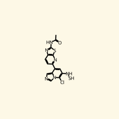 CC(=O)Nc1nc2ccc(-c3cc(NS)c(Cl)n4cncc34)nc2s1